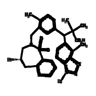 CC[C@H]1Cc2ccccc2S(=O)(=O)N(Cc2cc(C(c3ccc4c(nnn4CC)c3C)C(C)(C)C(=O)O)ccc2C)C1